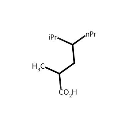 CCCC(CC(C)C(=O)O)C(C)C